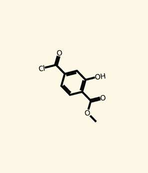 COC(=O)c1ccc(C(=O)Cl)cc1O